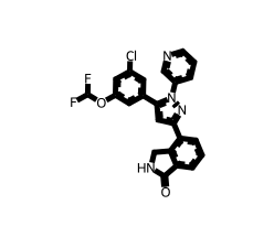 O=C1NCc2c1cccc2-c1cc(-c2cc(Cl)cc(OC(F)F)c2)n(-c2cccnc2)n1